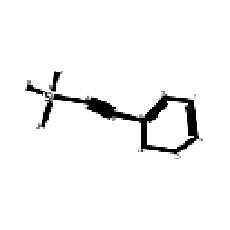 C[Si](C)(C)C#CC1=CC=CC[CH]1